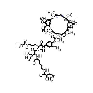 C=C(CBr)C(=O)NCCCCC(C=O)N[C@H](C(=O)N[C@@H](CCCNC(N)=O)C(=O)Nc1ccc(NC(=O)O[C@H]2CC(=O)N(C)c3cc(cc(OC)c3Cl)C/C(C)=C/C=C/[C@@H](OC)[C@@]3(O)C[C@H](OC(=O)N3)[C@@H](C)[C@@H]3O[C@@]23C)c(C)c1)C(C)C